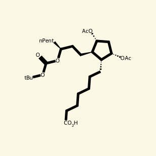 CCCCC[C@@H](CC[C@@H]1[C@@H](CCCCCCC(=O)O)[C@@H](OC(C)=O)C[C@H]1OC(C)=O)OC(=O)OC(C)(C)C